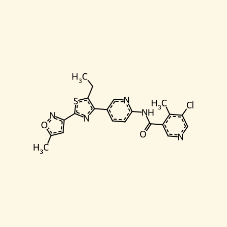 CCc1sc(-c2cc(C)on2)nc1-c1ccc(NC(=O)c2cncc(Cl)c2C)nc1